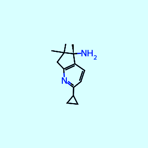 CC1(C)Cc2nc(C3CC3)ccc2[C@@]1(C)N